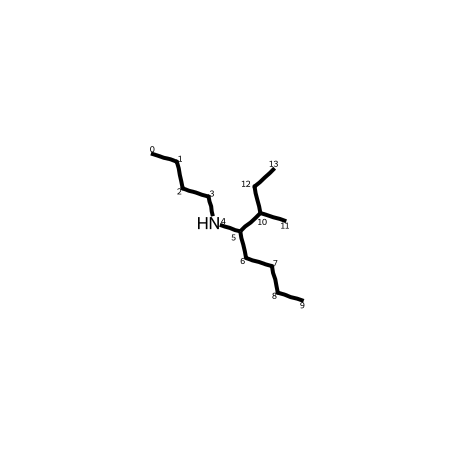 CCCCNC(CCCC)C(C)CC